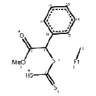 CCC.COC(=O)C(SC(=S)S)c1ccccc1